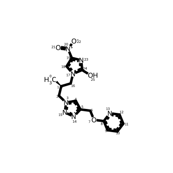 C[C@H](Cn1cc(COc2ccccn2)nn1)Cn1cc([N+](=O)[O-])nc1O